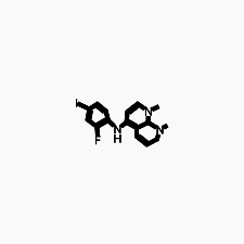 CN1C=CC(Nc2ccc(I)cc2F)=C2C=CCN(C)C21